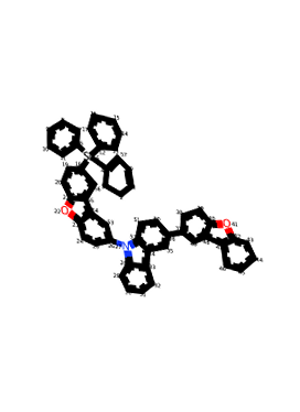 C1=CCCC([Si](c2ccccc2)(c2ccccc2)c2ccc3oc4ccc(-n5c6ccccc6c6cc(-c7ccc8oc9ccccc9c8c7)ccc65)cc4c3c2)=C1